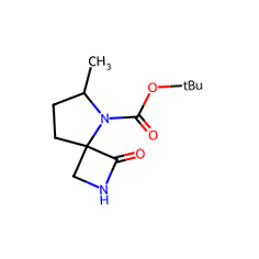 CC1CCC2(CNC2=O)N1C(=O)OC(C)(C)C